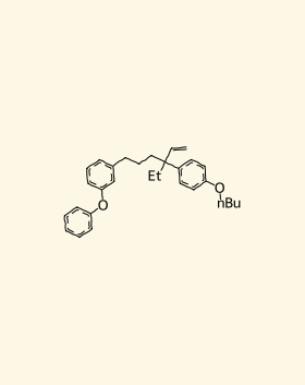 C=CC(CC)(CCCc1cccc(Oc2ccccc2)c1)c1ccc(OCCCC)cc1